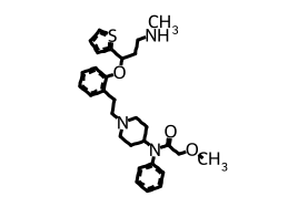 CNCCC(Oc1ccccc1CCN1CCC(N(C(=O)COC)c2ccccc2)CC1)c1cccs1